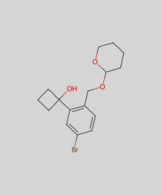 OC1(c2cc(Br)ccc2COC2CCCCO2)CCC1